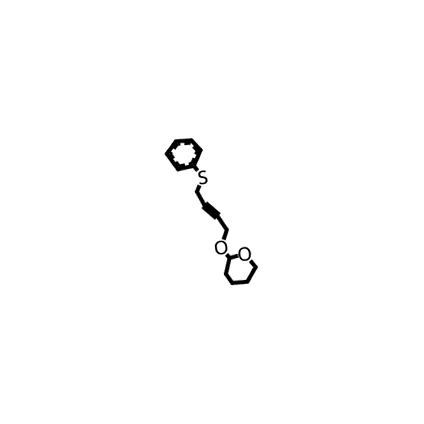 C(#CCSc1ccccc1)COC1CCCCO1